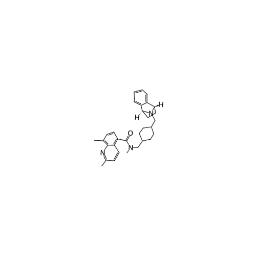 Cc1ccc2c(C(=O)N(C)CC3CCC(CN4[C@H]5CC[C@H]4c4ccccc45)CC3)ccc(C)c2n1